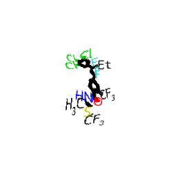 CCC(F)(F)C(/C=C(\F)c1ccc(C(=O)NC(C)CSCC(F)(F)F)c(C(F)(F)F)c1)c1cc(Cl)c(Cl)c(Cl)c1